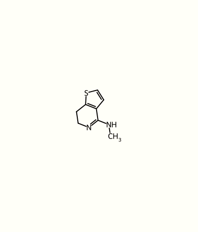 CNC1=NCCc2sccc21